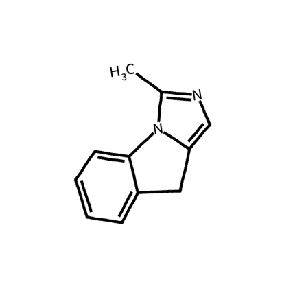 Cc1ncc2n1-c1ccccc1C2